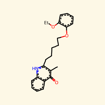 CCOc1ccccc1OCCCCCc1[nH]c2ccccc2c(=O)c1C